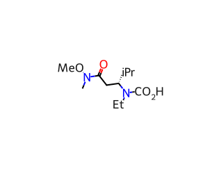 CCN(C(=O)O)[C@H](CC(=O)N(C)OC)C(C)C